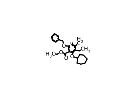 CCOC(=O)c1c(OCc2ccccc2)nc(C)c(CC)c1OC1CCCCCC1